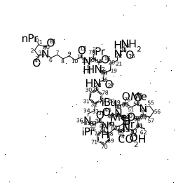 CCCC1CC(=O)N(CCCCCC(=O)N[C@H](C(=O)N[C@@H](CCCNC(N)=O)C(=O)Nc2ccc(CCN(C)[C@H](C(=O)N[C@@H](CC(C)C)C(=O)N(C)[C@@H]([C@@H](C)CC)[C@@H](CC(=O)N3CCC[C@H]3[C@H](OC)[C@@H](C)C(=O)N[C@@H](Cc3ccccc3)C(=O)O)OC)C(C)C)cc2)C(C)C)C1=O